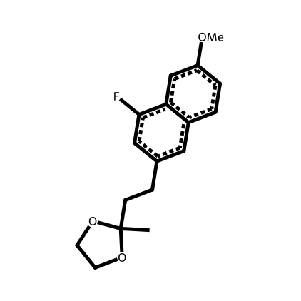 COc1ccc2cc(CCC3(C)OCCO3)cc(F)c2c1